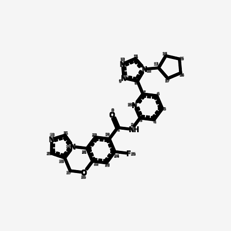 O=C(Nc1cccc(-c2nncn2C2CCCC2)n1)c1cc2c(cc1F)OCc1cncn1-2